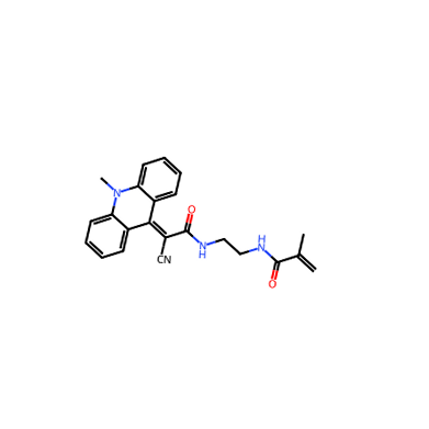 C=C(C)C(=O)NCCNC(=O)C(C#N)=C1c2ccccc2N(C)c2ccccc21